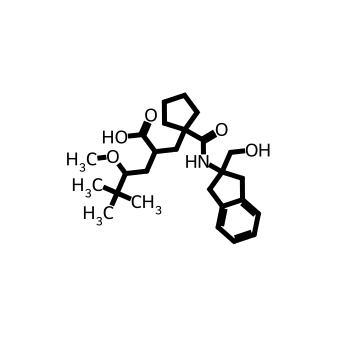 COC(CC(CC1(C(=O)NC2(CO)Cc3ccccc3C2)CCCC1)C(=O)O)C(C)(C)C